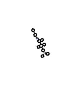 C(=C\c1ccc(-c2c3ccccc3c(-c3ccc(N(c4ccccc4)c4ccccc4)cc3)c3ccccc23)c2ccccc12)/c1ccc(-c2ccccc2)cc1